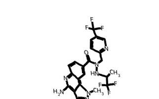 CC(NN(Cc1ccc(C(F)(F)F)cn1)C(=O)c1ccc2nc(N)c3cnn(C)c3c2c1)C(F)(F)F